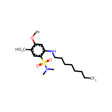 CC(C)Oc1cc(NCCCCCCCC(F)(F)F)c(S(=O)(=O)N(C)C)cc1C(=O)O